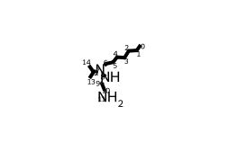 CCCCCCCN(NCCN)C(C)C